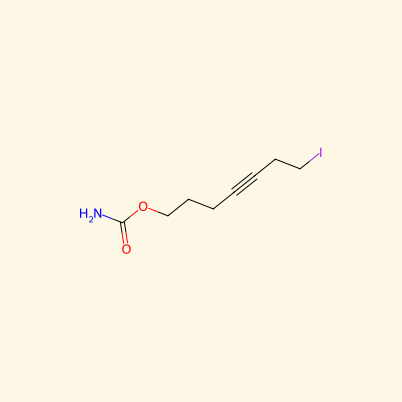 NC(=O)OCCCC#CCCI